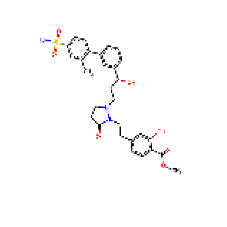 COC(=O)c1ccc(CCN2C(=O)CCN2CCC(O)c2cccc(-c3ccc(S(N)(=O)=O)cc3C)c2)cc1O